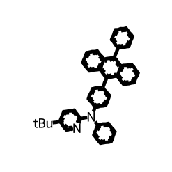 CC(C)(C)c1ccc(N(c2ccccc2)c2ccc(-c3c4ccccc4c(-c4ccccc4)c4ccccc34)cc2)nc1